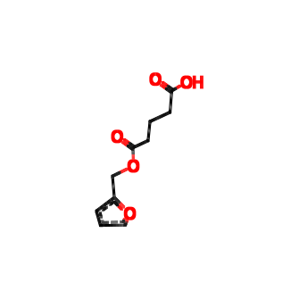 O=C(O)CCCC(=O)OCc1ccco1